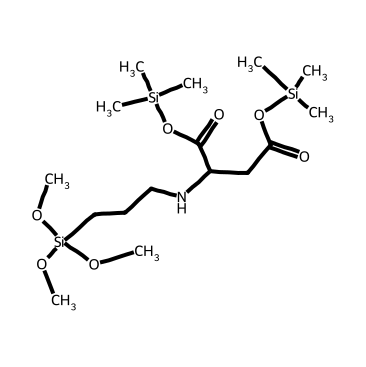 CO[Si](CCCNC(CC(=O)O[Si](C)(C)C)C(=O)O[Si](C)(C)C)(OC)OC